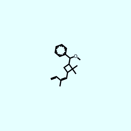 C=CC(C)=CC1CC(C(OC)c2ccccc2)C1(C)C